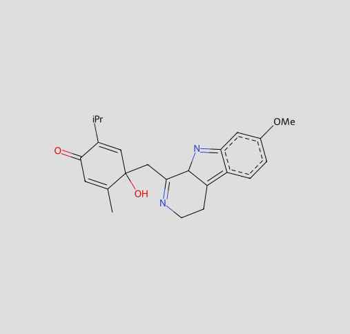 COc1ccc2c(c1)=NC1C(CC3(O)C=C(C(C)C)C(=O)C=C3C)=NCCC=21